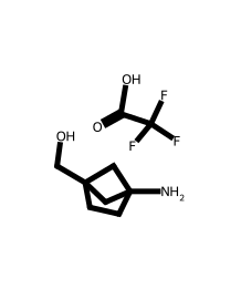 NC12CCC(CO)(C1)C2.O=C(O)C(F)(F)F